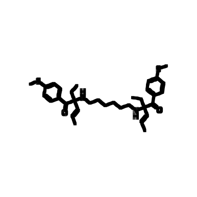 CC=CC(CC)(NCCCCCCNC(C=CC)(CC)C(=O)c1ccc(SC)cc1)C(=O)c1ccc(SC)cc1